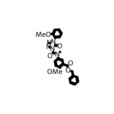 COc1ccc(N(C)C(=O)n2nnn(-c3ccccc3OC)c2=O)cc1C(=O)OCc1ccccc1